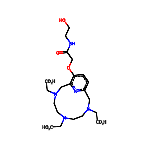 O=C(O)CN1CCN(CC(=O)O)Cc2ccc(OCC(=O)NCCO)c(n2)CN(CC(=O)O)CC1